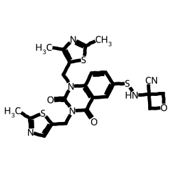 Cc1ncc(Cn2c(=O)c3cc(SNC4(C#N)COC4)ccc3n(Cc3sc(C)nc3C)c2=O)s1